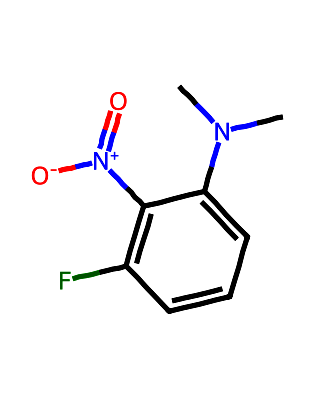 CN(C)c1cccc(F)c1[N+](=O)[O-]